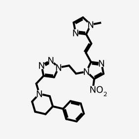 Cn1ccnc1C=Cc1ncc([N+](=O)[O-])n1CCn1cc(CN2CCCC(c3ccccc3)C2)nn1